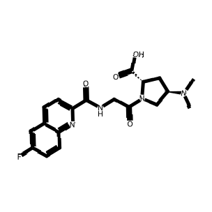 CN(C)[C@@H]1C[C@@H](C(=O)O)N(C(=O)CNC(=O)c2ccc3cc(F)ccc3n2)C1